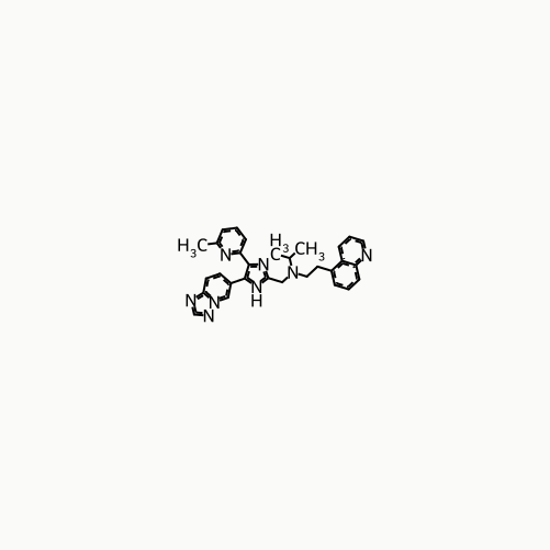 Cc1cccc(-c2nc(CN(CCc3cccc4ncccc34)C(C)C)[nH]c2-c2ccc3ncnn3c2)n1